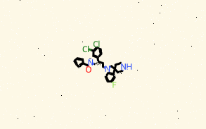 CN(C[C@@H](CCN1CC2(CCNCC2)c2cc(F)ccc21)c1ccc(Cl)c(Cl)c1)C(=O)c1ccccc1